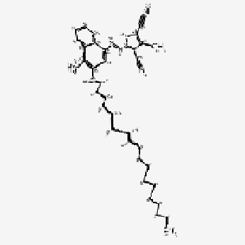 CCCCCCCCCCCCCCCCCCOc1cc(/N=N/c2sc(C#N)c(C)c2C#N)c2ccccc2c1O